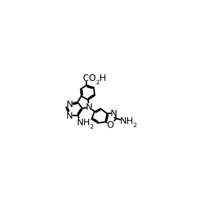 Nc1nc2cc(-n3c4ccc(C(=O)O)cc4c4ncnc(N)c43)ccc2o1